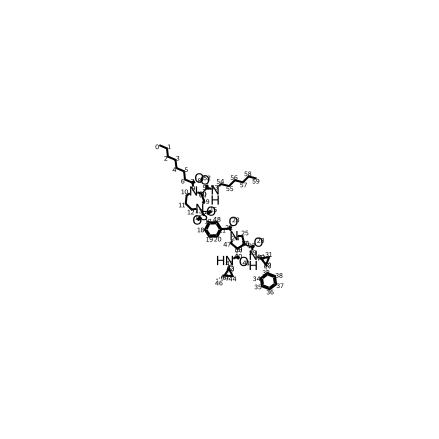 CCCCCCCC(=O)N1CCCN(S(=O)(=O)c2cccc(C(=O)N3C[C@@H](C(=O)N[C@H]4C[C@@H]4c4ccccc4)[C@H](C(=O)N[C@H]4C[C@@H]4C)C3)c2)C[C@@H]1C(=O)NCCCCCC